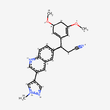 COC1=CC(C(CC#N)c2ccc3ncc(-c4cnn(C)c4)cc3c2)=CC(OC)C1